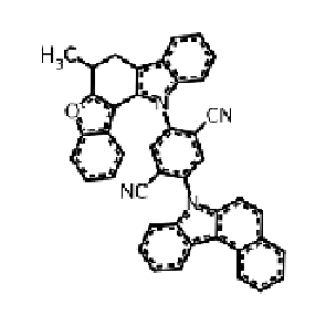 CC1Cc2c(n(-c3cc(C#N)c(-n4c5ccccc5c5c6ccccc6ccc54)cc3C#N)c3ccccc23)-c2c1oc1ccccc21